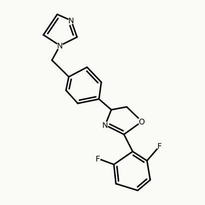 Fc1cccc(F)c1C1=NC(c2ccc(Cn3ccnc3)cc2)CO1